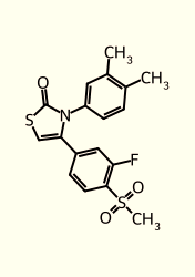 Cc1ccc(-n2c(-c3ccc(S(C)(=O)=O)c(F)c3)csc2=O)cc1C